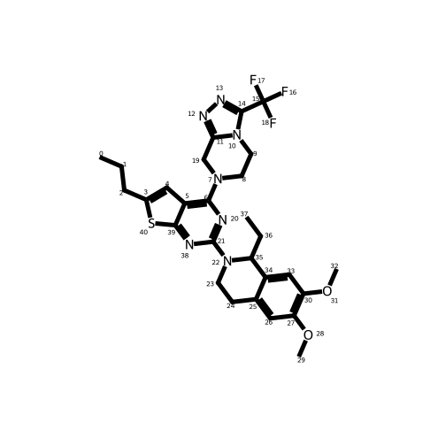 CCCc1cc2c(N3CCn4c(nnc4C(F)(F)F)C3)nc(N3CCc4cc(OC)c(OC)cc4C3CC)nc2s1